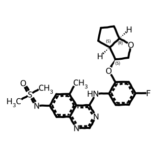 Cc1cc(N=S(C)(C)=O)cc2ncnc(Nc3ccc(F)cc3O[C@@H]3CO[C@@H]4CCC[C@@H]43)c12